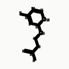 C=C(C)CCOC1C=C(C)C=CO1